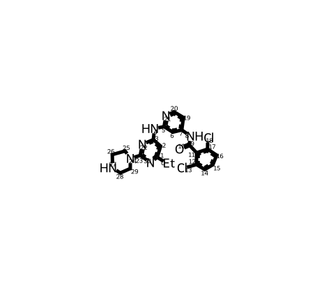 CCc1cc(Nc2cc(NC(=O)c3c(Cl)cccc3Cl)ccn2)nc(N2CCNCC2)n1